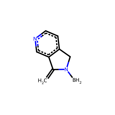 BN1Cc2ccncc2C1=C